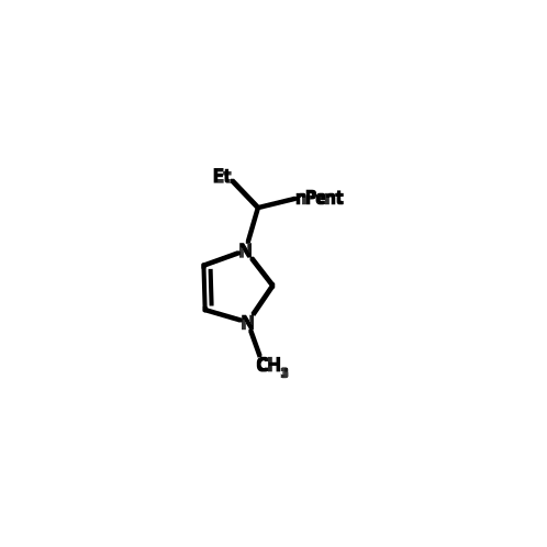 CCCCCC(CC)N1C=CN(C)C1